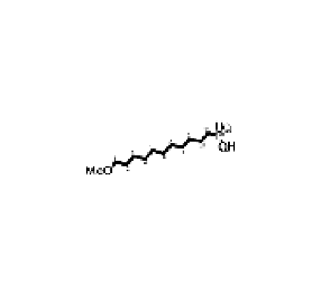 COCCCCCCCCCCC[PH](=O)O